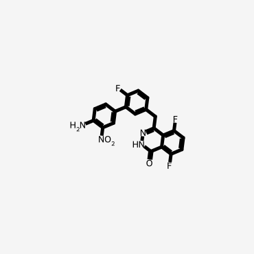 Nc1ccc(-c2cc(Cc3n[nH]c(=O)c4c(F)ccc(F)c34)ccc2F)cc1[N+](=O)[O-]